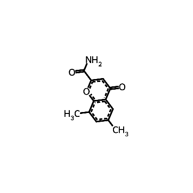 Cc1cc(C)c2oc(C(N)=O)cc(=O)c2c1